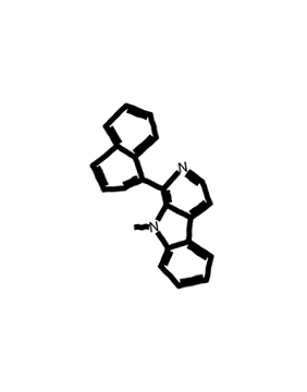 Cn1c2ccccc2c2ccnc(-c3cccc4ccccc34)c21